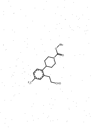 CC(C)(C)OC(=O)N1CCC(c2ccc(C(F)(F)F)cc2CCC=O)CC1